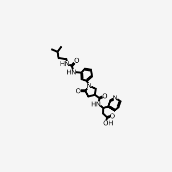 CC(C)CCNC(=O)Nc1cccc(N2CC(C(=O)NC(CC(=O)O)c3cccnc3)CC2=O)c1